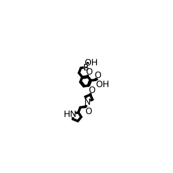 O=C(O)c1c(OC2CN(C(=O)CC3CCCN3)C2)ccc2c1OB(O)CC2